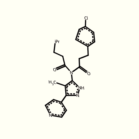 Cc1c(-c2ccncc2)n[nH]c1N(C(=O)CCc1ccc(Cl)cc1)C(=O)CCC(C)C